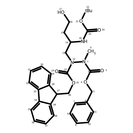 CN(C(=O)OCc1ccccc1)N(CC(CCO)NC(=O)OC(C)(C)C)C(=O)OCC1c2ccccc2-c2ccccc21